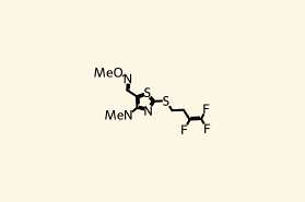 CNc1nc(SCCC(F)=C(F)F)sc1C=NOC